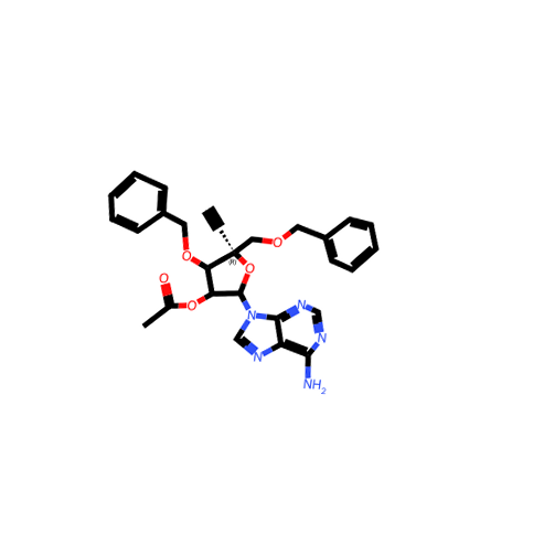 C#C[C@]1(COCc2ccccc2)OC(n2cnc3c(N)ncnc32)C(OC(C)=O)C1OCc1ccccc1